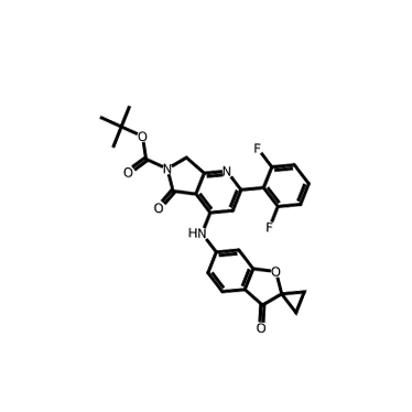 CC(C)(C)OC(=O)N1Cc2nc(-c3c(F)cccc3F)cc(Nc3ccc4c(c3)OC3(CC3)C4=O)c2C1=O